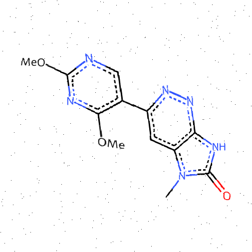 COc1ncc(-c2cc3c(nn2)[nH]c(=O)n3C)c(OC)n1